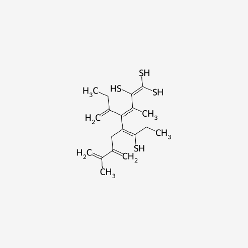 C=C(C)C(=C)CC(=C(\S)CC)/C(C(=C)CC)=C(\C)C(S)=C(S)S